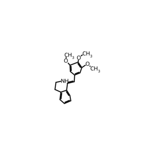 COc1cc(C=C2NCCc3ccccc32)cc(OC)c1OC